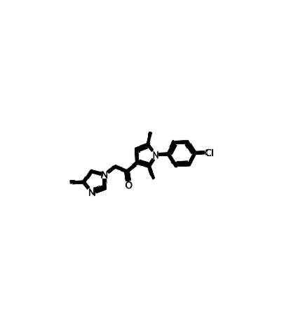 Cc1cc(C(=O)CN2C=NC(C)C2)c(C)n1-c1ccc(Cl)cc1